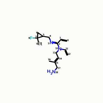 C=C/C(=N\CC1CC1(F)CC)N(C=C)C/C=C(\C)CN